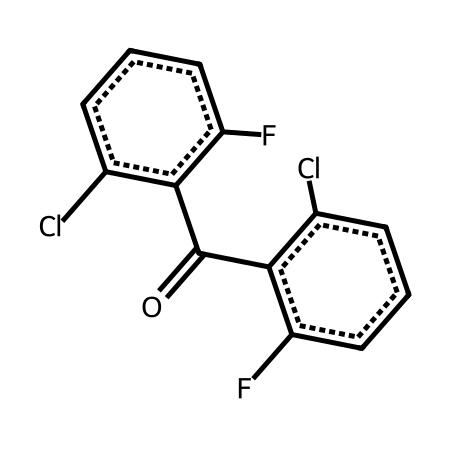 O=C(c1c(F)cccc1Cl)c1c(F)cccc1Cl